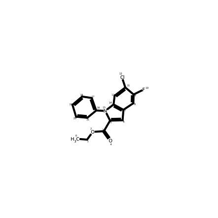 CCOC(=O)c1cc2cc(F)c(Cl)cc2n1-c1ccccc1